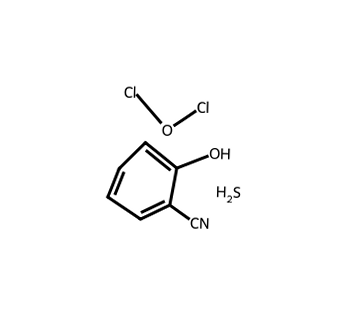 ClOCl.N#Cc1ccccc1O.S